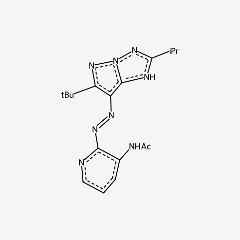 CC(=O)Nc1cccnc1N=Nc1c(C(C)(C)C)nn2nc(C(C)C)[nH]c12